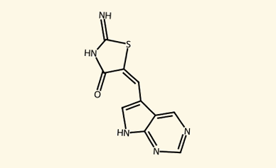 N=C1NC(=O)C(=Cc2c[nH]c3ncncc23)S1